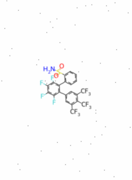 NS(=O)(=O)c1ccccc1-c1c(F)c(F)c(F)c(F)c1-c1cc(C(F)(F)F)c(C(F)(F)F)c(C(F)(F)F)c1